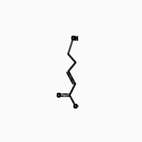 [O]C(=O)C=CCCO